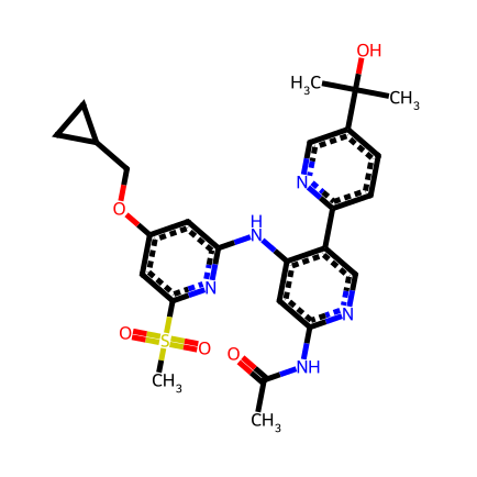 CC(=O)Nc1cc(Nc2cc(OCC3CC3)cc(S(C)(=O)=O)n2)c(-c2ccc(C(C)(C)O)cn2)cn1